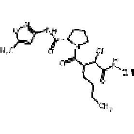 CCCCC(C(=O)N1CCC[C@H]1C(=O)Nc1cc(C)on1)C(O)C(=O)NO